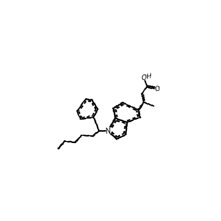 CCCCCC(c1ccccc1)n1ccc2cc(/C(C)=C/C(=O)O)ccc21